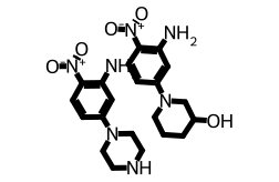 Nc1cc(N2CCCC(O)C2)ccc1[N+](=O)[O-].Nc1cc(N2CCNCC2)ccc1[N+](=O)[O-]